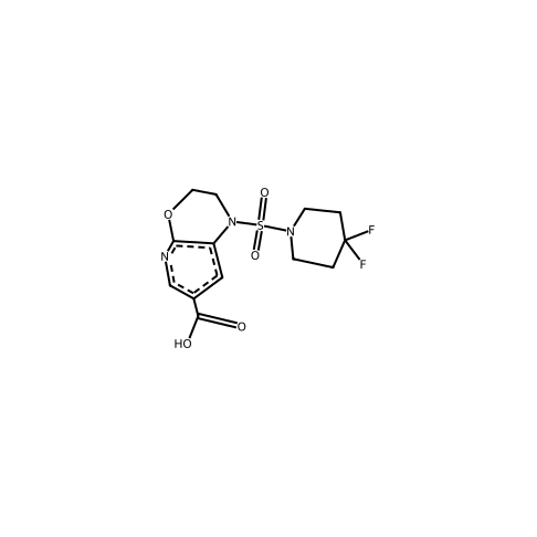 O=C(O)c1cnc2c(c1)N(S(=O)(=O)N1CCC(F)(F)CC1)CCO2